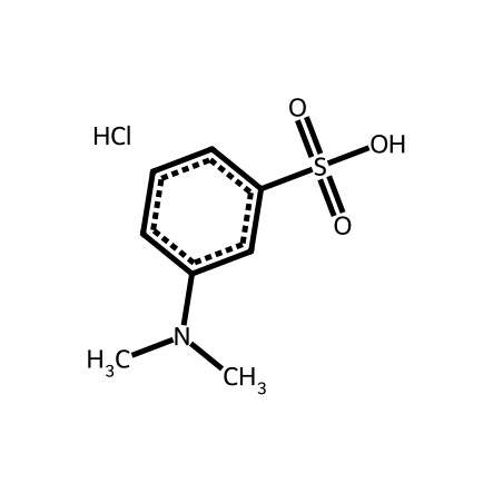 CN(C)c1cccc(S(=O)(=O)O)c1.Cl